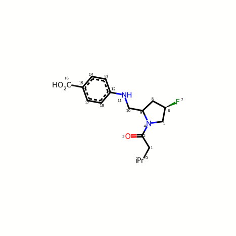 CC(C)CC(=O)N1C[C@H](F)CC1CNc1ccc(C(=O)O)cc1